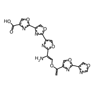 C=C(O/C=C(\N)c1nc(-c2nc(-c3nc(C(=O)O)co3)co2)co1)c1coc(-c2cocn2)n1